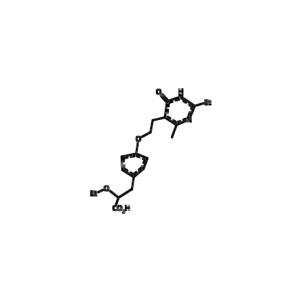 CCOC(Cc1ccc(OCCc2c(C)nc(CC)[nH]c2=O)cc1)C(=O)O